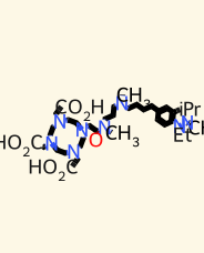 C=NN(CC)c1ccc(CCCCN(C)CCCN(C)C(=O)CN2CCN(CC(=O)O)CCN(CC(=O)O)CCN(CC(=O)O)CC2)cc1C(C)C